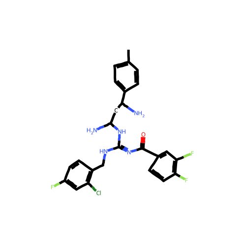 Cc1ccc(C(N)CC(N)N/C(=N\C(=O)c2ccc(F)c(F)c2)NCc2ccc(F)cc2Cl)cc1